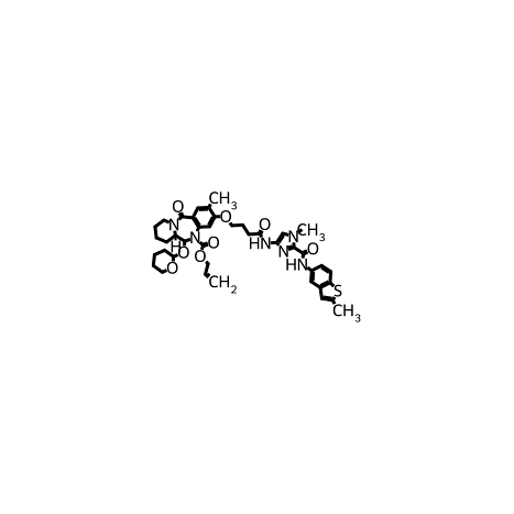 C=CCOC(=O)N1c2cc(OCCCC(=O)Nc3cn(C)c(C(=O)Nc4ccc5sc(C)cc5c4)n3)c(C)cc2C(=O)N2CCCC[C@H]2C1OC1CCCCO1